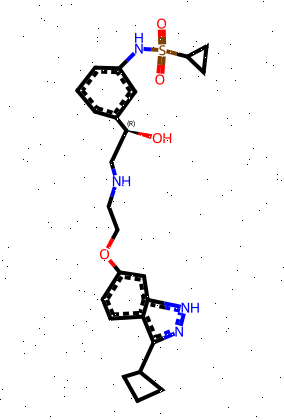 O=S(=O)(Nc1cccc([C@@H](O)CNCCOc2ccc3c(C4CCC4)n[nH]c3c2)c1)C1CC1